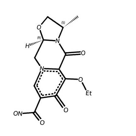 CCOc1c2n(cc(C(=O)N=O)c1=O)C[C@H]1OC[C@H](C)N1C2=O